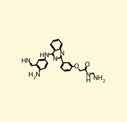 N=Cc1cc(Nc2nc(-c3cccc(OCC(=O)NCN)c3)nc3ccccc23)ccc1N